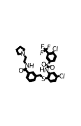 O=C(NCCN1CCCC1)c1cccc(CSc2ccc(Cl)cc2NS(=O)(=O)c2ccc(Cl)c(C(F)(F)F)c2)c1